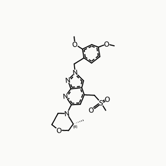 COc1ccc(Cn2cc3c(CS(C)(=O)=O)cc(N4CCOC[C@H]4C)nc3n2)c(OC)c1